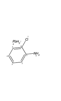 Nc1ccccc1Cl.[PbH2]